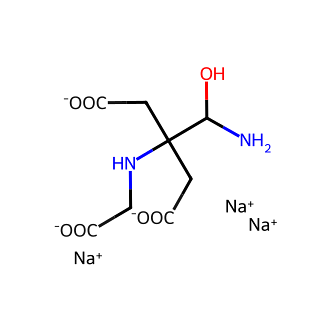 NC(O)C(CC(=O)[O-])(CC(=O)[O-])NCC(=O)[O-].[Na+].[Na+].[Na+]